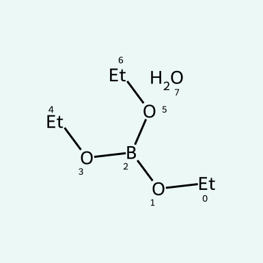 CCOB(OCC)OCC.O